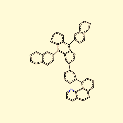 c1cc(-c2ccc3c(-c4ccc5ccccc5c4)c4ccccc4c(-c4ccc5ccccc5c4)c3c2)cc(-c2cccc3ccc4cccnc4c23)c1